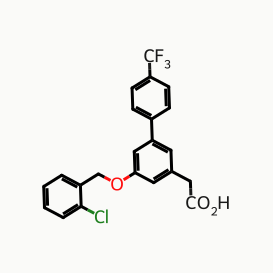 O=C(O)Cc1cc(OCc2ccccc2Cl)cc(-c2ccc(C(F)(F)F)cc2)c1